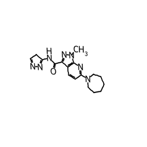 Cn1nc(C(=O)NC2=NN=CC2)c2ccc(N3CCCCCC3)nc21